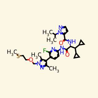 CSCCOCn1nc(C)c(-c2ccc(NC(=O)[C@@H](NC(=O)c3ccnn3C(C)C)C(C3CC3)C3CC3)nc2F)c1C